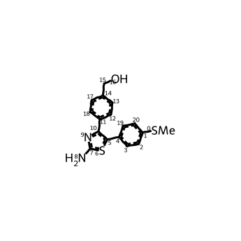 CSc1ccc(-c2sc(N)nc2-c2ccc(CO)cc2)cc1